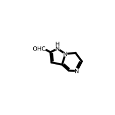 O=CC1=CC2=CN=CCN2N1